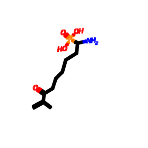 C=C(C)C(=O)CCCCCC(N)P(=O)(O)O